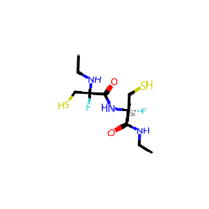 CCNC(=O)[C@](F)(CS)NC(=O)C(F)(CS)NCC